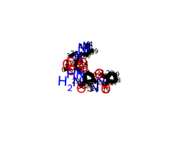 CC(=O)O[C@@H](C(=O)Nc1ccc2c(N3C(=O)c4ccccc4C3=O)nsc2c1C(N)=O)[C@H]1OCCN(c2cc(C)n(C)n2)C1=O